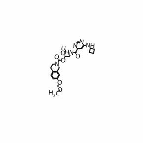 COCOc1ccc2c(c1)CN(C(=O)O[C@@H](O)CNC(=O)c1cc(NC3CCC3)ncn1)CC2